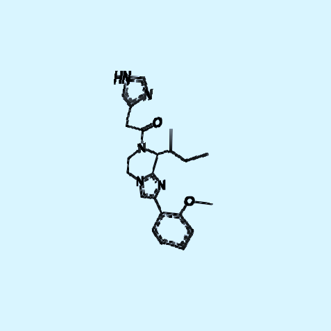 CCC(C)C1c2nc(-c3ccccc3OC)cn2CCN1C(=O)Cc1c[nH]cn1